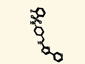 O=S(=O)(N[C@H]1CC[C@H](CNc2nc(-c3cccnc3)cs2)CC1)c1ccccc1F